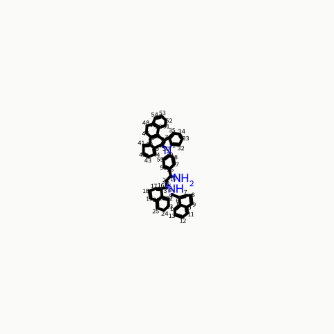 NC(/C=C(\NCc1cccc2ccccc12)c1cccc2c1=CCCC=2)c1ccc(-n2c3ccccc3c3c4c(c5ccccc5c32)CCC2=C4CCC=C2)cc1